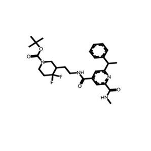 CNC(=O)c1cc(C(=O)NCCC2CN(C(=O)OC(C)(C)C)CCC2(F)F)cc(C(C)c2ccccc2)n1